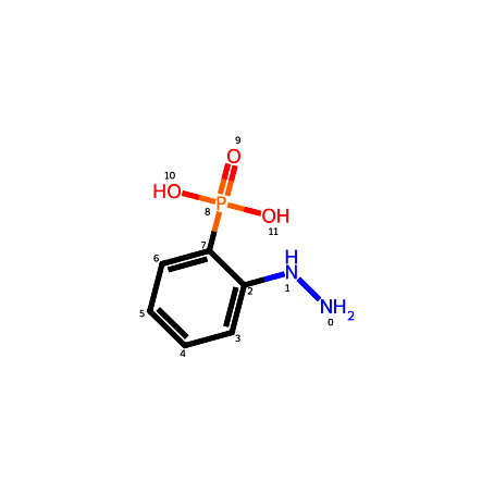 NNc1ccccc1P(=O)(O)O